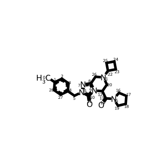 Cc1ccc(Cn2nc3n(c2=O)C(C(=O)N2CCCC2)CN(C2CCC2)C3)cc1